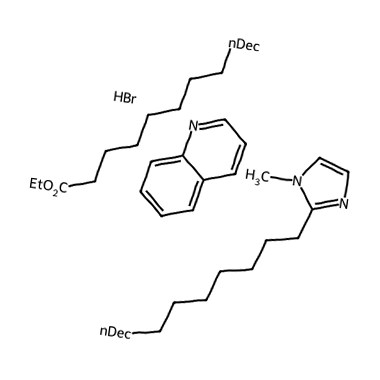 Br.CCCCCCCCCCCCCCCCCC(=O)OCC.CCCCCCCCCCCCCCCCCc1nccn1C.c1ccc2ncccc2c1